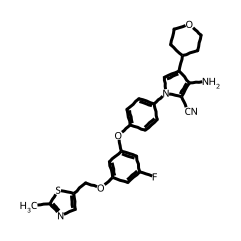 Cc1ncc(COc2cc(F)cc(Oc3ccc(-n4cc(C5CCOCC5)c(N)c4C#N)cc3)c2)s1